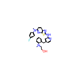 CN(CCO)c1ccccc1Cc1ccnc(Nc2nc3ccc(N(C)c4ccc(F)cc4)nc3s2)c1